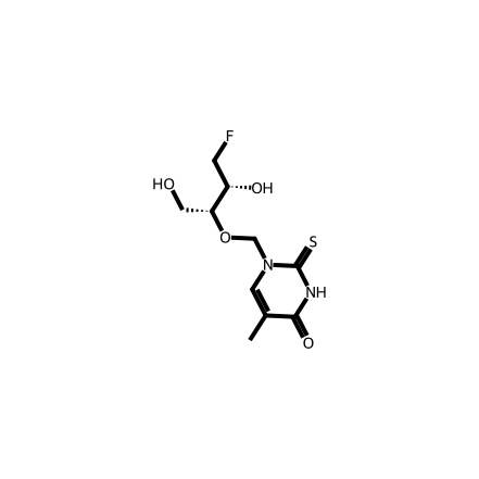 Cc1cn(CO[C@H](CO)[C@@H](O)CF)c(=S)[nH]c1=O